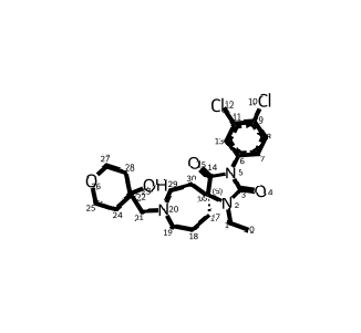 CCN1C(=O)N(c2ccc(Cl)c(Cl)c2)C(=O)[C@@]12CCCN(CC1(O)CCOCC1)CC2